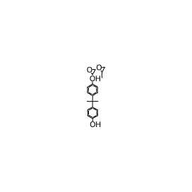 C1CO1.CC(C)(c1ccc(O)cc1)c1ccc(O)cc1.CC1CO1